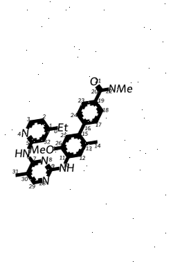 CCc1ccnc(Nc2nc(Nc3cc(C)c(-c4ccc(C(=O)NC)cc4)cc3OC)ncc2C)c1